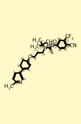 Cc1ccc(C2=CC=C(OCCCN(C(=S)Nc3ccc(C#N)c(C(F)(F)F)c3)C(C)(C)C=O)CC2)cn1